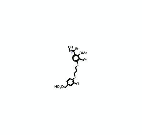 CCCc1c(OCCCSc2ccc(CC(=O)O)cc2Cl)ccc(/C(CC)=N/O)c1OC